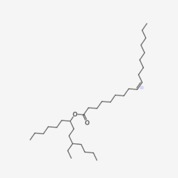 CCCCCCCC/C=C\CCCCCCCC(=O)OC(CCCCCC)CCC(CC)CCCC